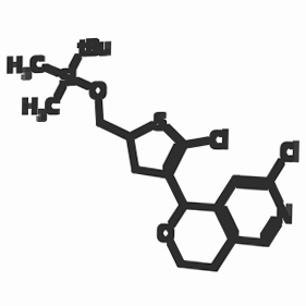 CC(C)(C)[Si](C)(C)OCC1CC(C2OCCc3cnc(Cl)cc32)=C(Cl)S1